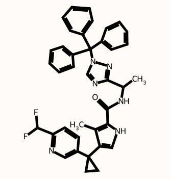 Cc1c(C2(c3ccc(C(F)F)nc3)CC2)c[nH]c1C(=O)NC(C)c1ncn(C(c2ccccc2)(c2ccccc2)c2ccccc2)n1